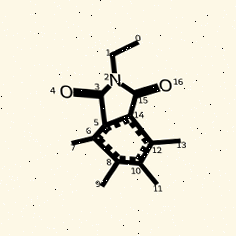 CCN1C(=O)c2c(C)c(C)c(C)c(C)c2C1=O